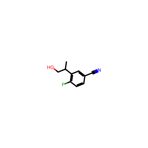 C[C](CO)c1cc(C#N)ccc1F